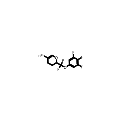 CCCC1=COC(C(F)(F)Oc2cc(F)c(F)c(F)c2)CC1